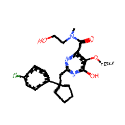 CCCCOc1c(O)nc(CC2(c3ccc(Cl)cc3)CCCC2)nc1C(=O)N(C)CCO